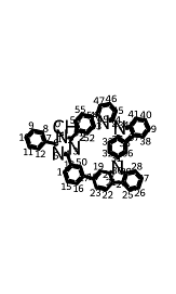 C=N/C(=N\C(=N/Cc1ccccc1)c1cccc(C2=CC3C(C=C2)c2ccccc2N3c2ccc3c(c2)c2ccccc2n3-c2ccccn2)c1)c1ccccc1